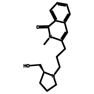 Cn1c(CCCN2CCC[C@H]2CO)cc2ccccc2c1=O